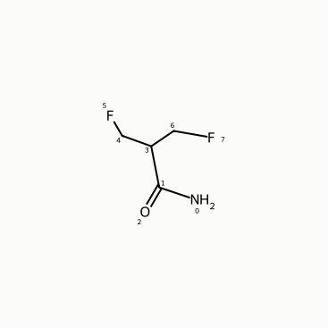 NC(=O)C(CF)CF